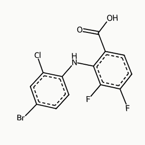 O=C(O)c1ccc(F)c(F)c1Nc1ccc(Br)cc1Cl